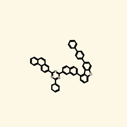 C1=CCCC(c2nc(-c3ccc4ccc(-c5cccc6oc7ccc(-c8ccc(-c9ccccc9)cc8)cc7c56)cc4c3)nc(-c3ccc4c(ccc5ccccc54)c3)n2)=C1